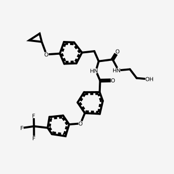 O=C(NC(Cc1ccc(OC2CC2)cc1)C(=O)NCCO)c1ccc(Oc2ccc(C(F)(F)F)cc2)cc1